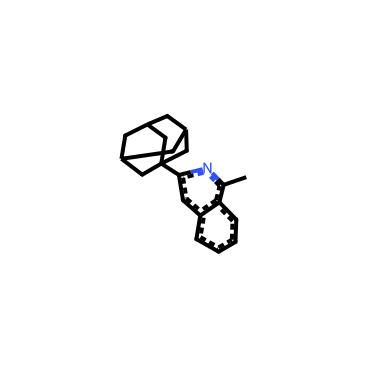 Cc1nc(C23CC4CC(CC(C4)C2)C3)cc2ccccc12